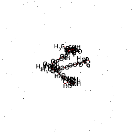 CCCC1O[C@@H]2C[C@H]3[C@@H]4C[C@H](F)C5=CC(=O)C=C[C@]5(C)[C@@]4(F)[C@@H](O)C[C@]3(C)[C@]2(C(=O)COc2ccc(NC(=O)OCc3ccc(NC(=O)[C@H](CCCNC(N)=O)NC(=O)[C@@H](NC(=O)[C@@H](CCCCNC(=O)COC4CCCCCC5=C4NNN5[C@@H]4O[C@H](CO)[C@H](O)[C@H](O)[C@H]4O)NC(=O)CCOCCOCCOCCOCCNC(=O)CCC(=O)N4Cc5ccccc5C#Cc5ccccc54)C(C)C)cc3)cc2)O1